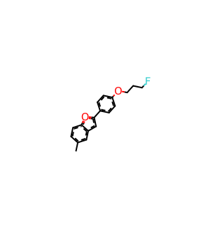 Cc1ccc2oc(-c3ccc(OCCCF)cc3)cc2c1